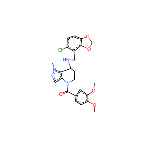 COc1ccc(C(=O)N2CCC(NCc3c(Cl)ccc4c3OCO4)c3c2cnn3C)cc1OC